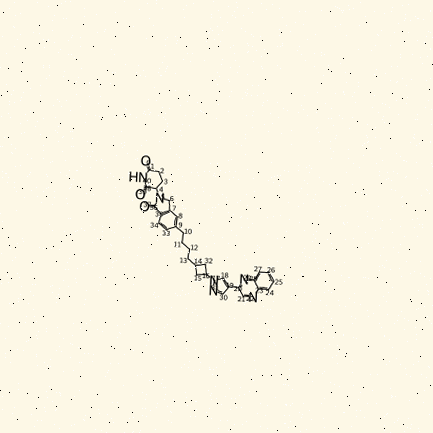 O=C1CCC(N2Cc3cc(CCCCC4CC(n5cc(-c6cnc7ccccc7n6)cn5)C4)ccc3C2=O)C(=O)N1